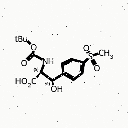 CC(C)(C)OC(=O)N[C@H](C(=O)O)[C@H](O)c1ccc(S(C)(=O)=O)cc1